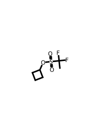 CC(F)(F)S(=O)(=O)OC1CCC1